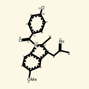 COc1ccc2c(c1)c(CC(C)=P)c(C)n2C(=O)c1ccc(Cl)cc1